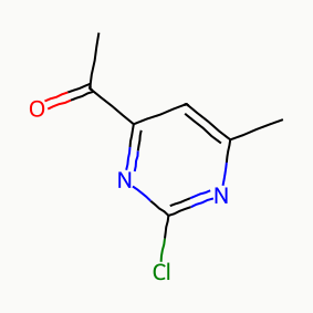 CC(=O)c1cc(C)nc(Cl)n1